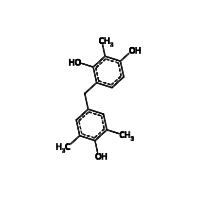 Cc1cc(Cc2ccc(O)c(C)c2O)cc(C)c1O